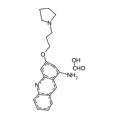 Nc1cc(OCCCN2CCCC2)cc2nc3ccccc3cc12.O=CO